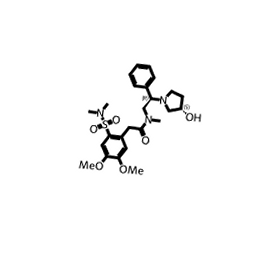 COc1cc(CC(=O)N(C)C[C@@H](c2ccccc2)N2CC[C@H](O)C2)c(S(=O)(=O)N(C)C)cc1OC